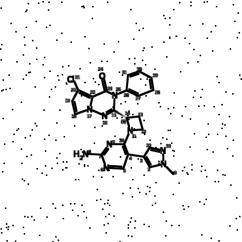 Cn1cc(-c2cnc(N)nc2N2CC[C@H]2c2nn3ccc(Cl)c3c(=O)n2-c2ccccc2)cn1